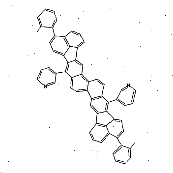 Cc1ccccc1-c1ccc2c3c(cccc13)-c1cc3c(ccc4c5cc6c(c(-c7cccnc7)c5ccc34)-c3ccc(-c4ccccc4C)c4cccc-6c34)c(-c3cccnc3)c1-2